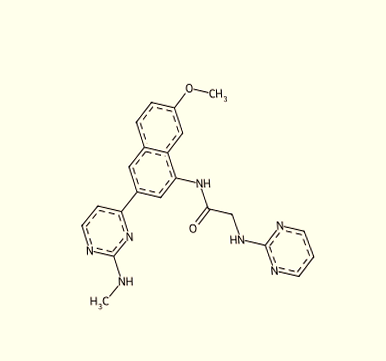 CNc1nccc(-c2cc(NC(=O)CNc3ncccn3)c3cc(OC)ccc3c2)n1